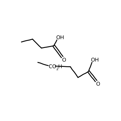 CC(=O)O.CCCC(=O)O.CCCC(=O)O